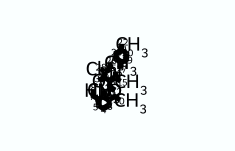 CCc1cccc(CC)c1NC(=O)c1c(C)n(Cc2ccc(C)cc2)c(C)c(Cl)c1=O